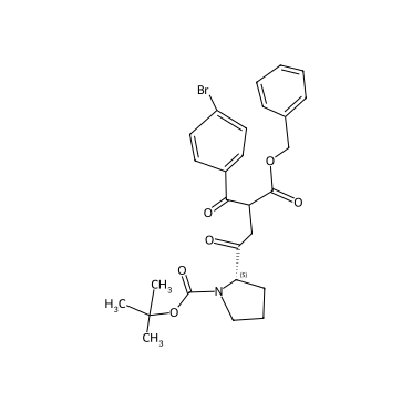 CC(C)(C)OC(=O)N1CCC[C@H]1C(=O)CC(C(=O)OCc1ccccc1)C(=O)c1ccc(Br)cc1